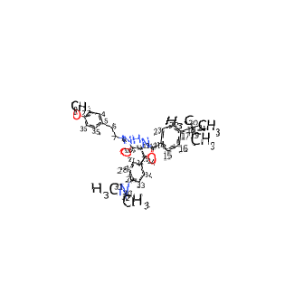 COc1ccc(CCNC(=O)c2nc(-c3ccc(C(C)(C)C)cc3)oc2-c2ccc(N(C)C)cc2)cc1